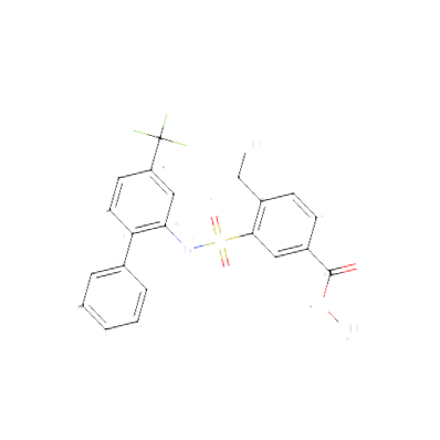 CCc1ccc(C(=O)OC)cc1S(=O)(=O)Nc1cc(C(F)(F)F)ccc1-c1ccccc1